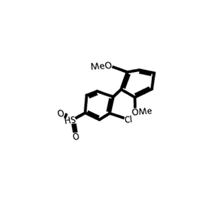 COc1cccc(OC)c1-c1ccc([SH](=O)=O)cc1Cl